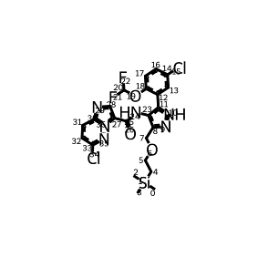 C[Si](C)(C)CCOCc1n[nH]c(-c2cc(Cl)ccc2OC(F)F)c1NC(=O)c1cnc2ccc(Cl)nn12